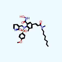 CCCCCCCCN(C)C(=O)C=Cc1cc(C)c(N(Cc2cccnc2)S(=O)(=O)c2ccc(OC)cc2)c(C(=O)NO)c1